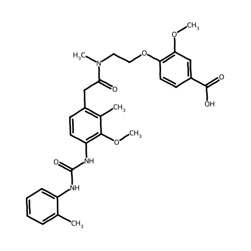 COc1cc(C(=O)O)ccc1OCCN(C)C(=O)Cc1ccc(NC(=O)Nc2ccccc2C)c(OC)c1C